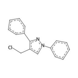 ClCc1cn(-c2ccccc2)nc1-c1ccccc1